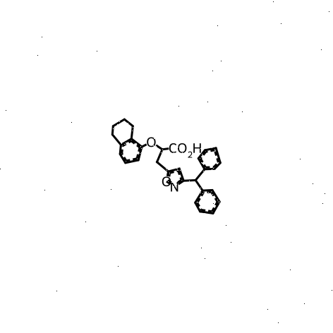 O=C(O)C(Cc1cc(C(c2ccccc2)c2ccccc2)no1)Oc1cccc2c1CCCC2